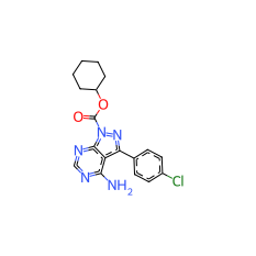 Nc1ncnc2c1c(-c1ccc(Cl)cc1)nn2C(=O)OC1CCCCC1